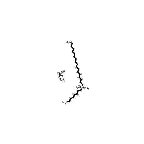 CCCCCCCCCCCCCCCCCC[N+](C)(C)CCCCCCCC.COS(=O)(=O)O